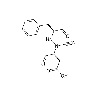 N#CN(N[C@H](C=O)Cc1ccccc1)[C@H](C=O)CC(=O)O